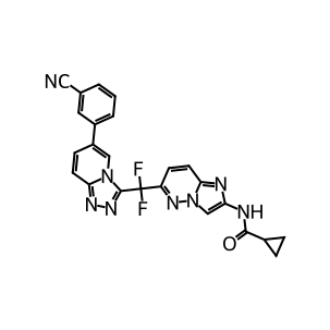 N#Cc1cccc(-c2ccc3nnc(C(F)(F)c4ccc5nc(NC(=O)C6CC6)cn5n4)n3c2)c1